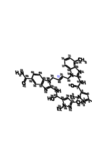 CCn1nc(C)cc1C(=O)Nc1nc2c(C)cccc2n1C/C=C/Cn1c(NC(O)c2cc(C)nn2CC)nc2cc(C(N)=O)ccc21